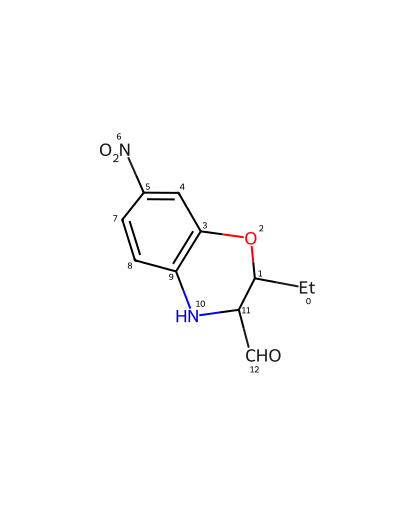 CCC1Oc2cc([N+](=O)[O-])ccc2NC1C=O